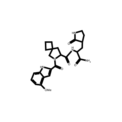 COc1cccc2[nH]c(C(=O)N3CC4(CCC4)CC3C(=O)NC(CC3CCNC3=O)C(N)=O)cc12